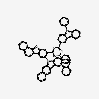 c1ccc(-n2c3ccccc3c3cc(C4=NC(c5ccc6ccccc6c5)NC(c5cc6oc7c8ccccc8ccc7c6cc5-n5c6cc7ccccc7cc6c6cc7ccccc7cc65)=N4)ccc32)cc1